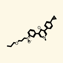 CCCOCCC[S+]([O-])c1cccc(-c2cn(C)cc(-c3ccc(C4CC4)cc3)c2=O)c1